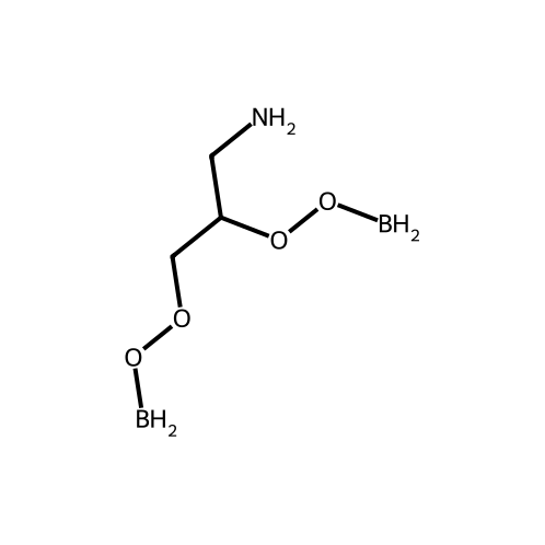 BOOCC(CN)OOB